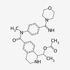 CC(=O)OC(C)C1NCCc2cc(C(=O)N(C)c3ccc(C(=N)N4CCOCC4)cc3)ccc21